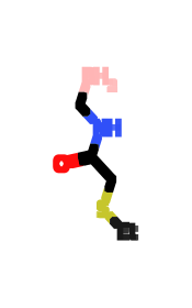 BCNC(=O)CSCC